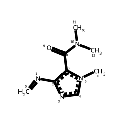 C=Nc1ncn(C)c1C(=O)N(C)C